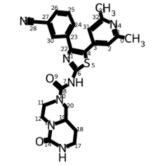 Cc1cc(-c2sc(NC(=O)N3CCN4C(=O)NCCC4C3)nc2-c2cccc(C#N)c2)cc(C)n1